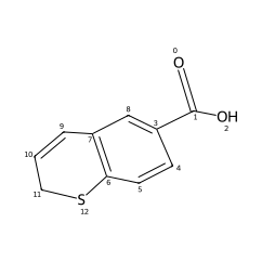 O=C(O)c1ccc2c(c1)C=CCS2